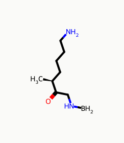 BNCC(=O)[C@@H](C)CCCCN